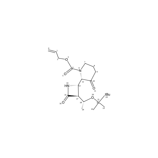 C=CCOC(=O)N1CCCC(=O)[C@@H]1[C@H]1NC(=O)[C@@H]1[C@@H](C)O[Si](C)(C)C(C)(C)C